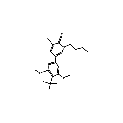 CCCCn1cc(-c2cc(OC)c(C(C)(C)C)c(OC)c2)cc(C)c1=O